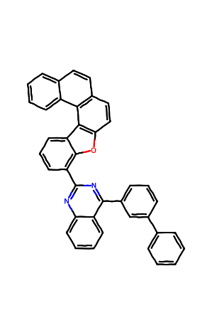 c1ccc(-c2cccc(-c3nc(-c4cccc5c4oc4ccc6ccc7ccccc7c6c45)nc4ccccc34)c2)cc1